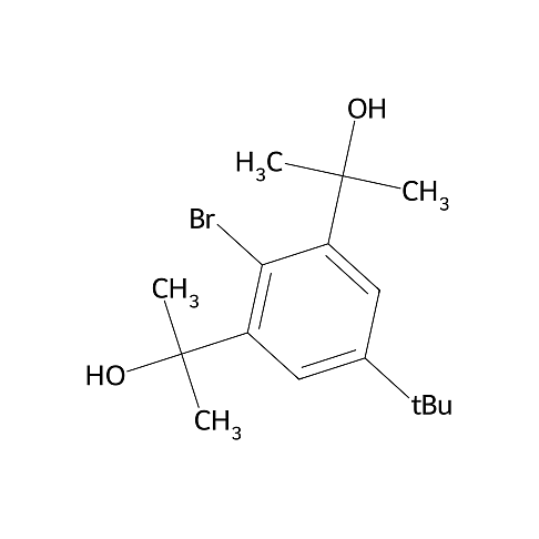 CC(C)(C)c1cc(C(C)(C)O)c(Br)c(C(C)(C)O)c1